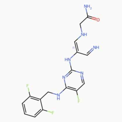 N=C/C(=C\NCC(N)=O)Nc1ncc(F)c(NCc2c(F)cccc2F)n1